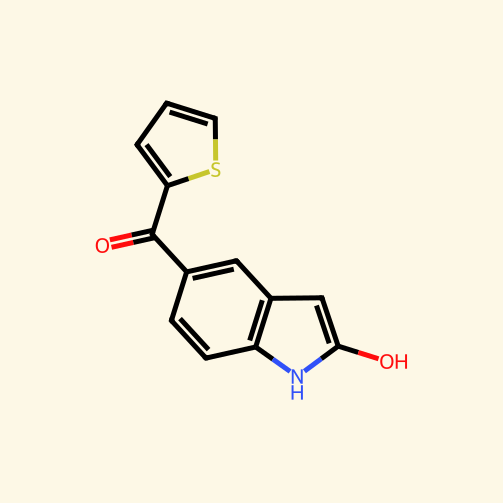 O=C(c1ccc2[nH]c(O)cc2c1)c1cccs1